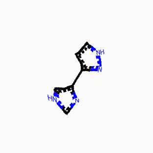 [c]1nc(-c2cc[nH]n2)c[nH]1